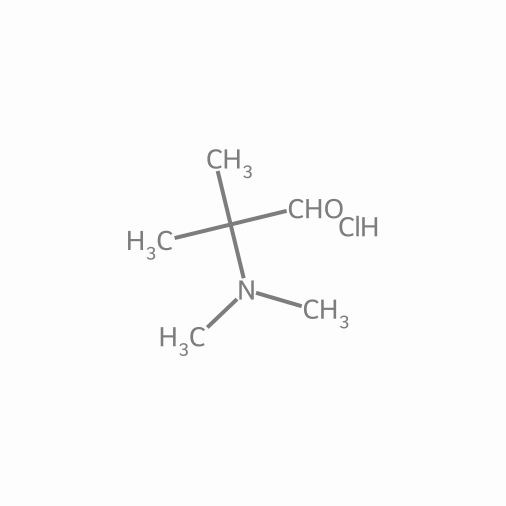 CN(C)C(C)(C)C=O.Cl